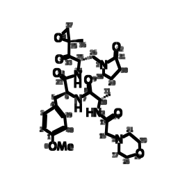 COc1ccc(C[C@H](NC(=O)[C@H](C)NC(=O)CN2CCOCC2)C(=O)N[C@@H](CN2CCCC2=O)C(=O)[C@@]2(C)CO2)cc1